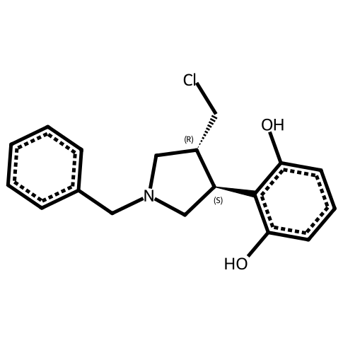 Oc1cccc(O)c1[C@H]1CN(Cc2ccccc2)C[C@@H]1CCl